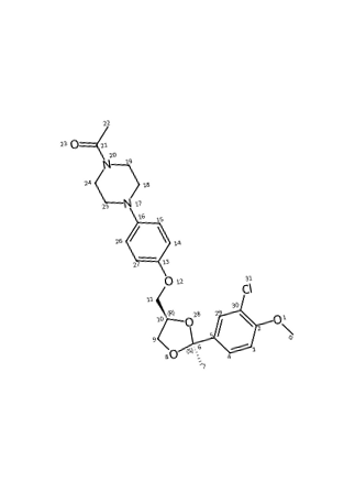 COc1ccc([C@@]2(C)OC[C@@H](COc3ccc(N4CCN(C(C)=O)CC4)cc3)O2)cc1Cl